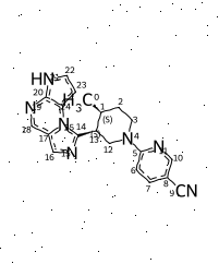 C[C@H]1CCN(c2ccc(C#N)cn2)C[C@H]1c1ncc2cnc3[nH]ccc3n12